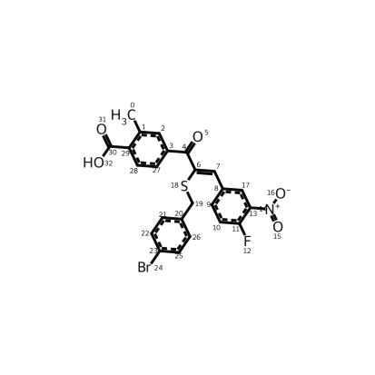 Cc1cc(C(=O)C(=Cc2ccc(F)c([N+](=O)[O-])c2)SCc2ccc(Br)cc2)ccc1C(=O)O